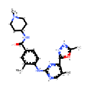 [C-]#[N+]c1nnc(-c2nc(Nc3ccc(C(=O)NC4CCN(C)CC4)cc3OC)ncc2C(C)=O)o1